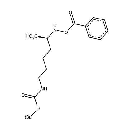 CC(C)(C)OC(=O)NCCCC[C@H](NOC(=O)c1ccccc1)C(=O)O